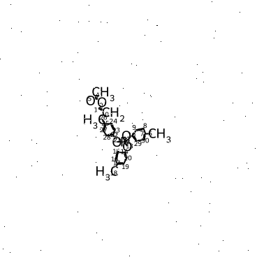 C=COC(C)=O.Cc1ccc(OP(Oc2ccc(C)cc2)Oc2ccc(C)cc2)cc1